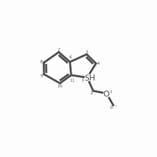 [CH2]OC[SH]1C=Cc2ccccc21